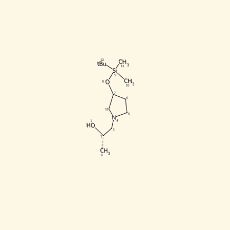 C[C@H](O)CN1CCC(O[Si](C)(C)C(C)(C)C)C1